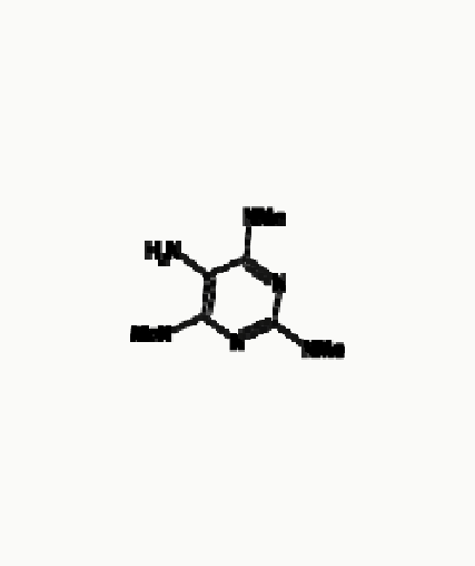 CNc1nc(NC)c(N)c(NC)n1